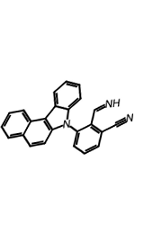 N#Cc1cccc(-n2c3ccccc3c3c4ccccc4ccc32)c1C=N